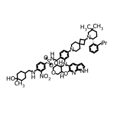 CC(C)c1ccccc1[C@H]1CCC(C)(C)CN1C1CC2(CCN(c3ccc(C(=O)NS(=O)(=O)c4ccc(NCC5CCC(C)(O)CC5)c([N+](=O)[O-])c4)c(N4c5cc6cc[nH]c6nc5O[C@H]5COCC[C@@H]54)c3)CC2)C1